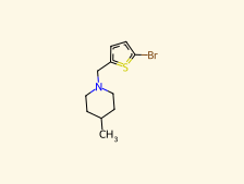 CC1CCN(Cc2ccc(Br)s2)CC1